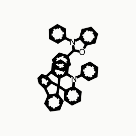 c1ccc(N2c3ccccc3C3(c4ccccc4-c4cccc(-c5ccc(C6Oc7ccccc7N6c6ccccc6)cc5)c43)c3ccccc32)cc1